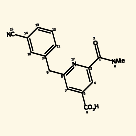 CNC(=O)c1cc(C(=O)O)cc(Cc2cccc(C#N)c2)n1